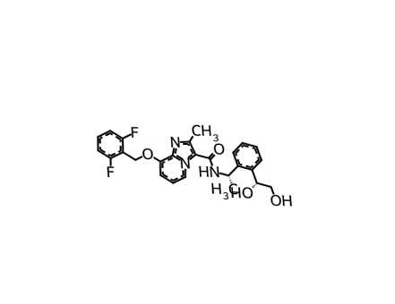 Cc1nc2c(OCc3c(F)cccc3F)cccn2c1C(=O)N[C@@H](C)c1ccccc1[C@@H](O)CO